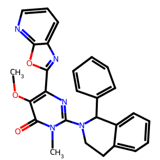 COc1c(-c2nc3cccnc3o2)nc(N2CCc3ccccc3C2c2ccccc2)n(C)c1=O